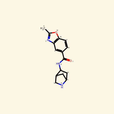 Cc1nc2cc(C(=O)NC3CC4CC3CN4)ccc2o1